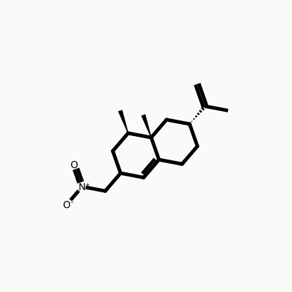 C=C(C)[C@@H]1CCC2=CC(C[N+](=O)[O-])C[C@@H](C)[C@]2(C)C1